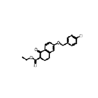 CCOC(=O)C1CCc2cc(OCc3ccc(Cl)cc3)ccc2C1=O